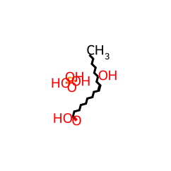 CCCCCCC(O)C/C=C\CCCCCCCC(=O)O.O=P(O)(O)O